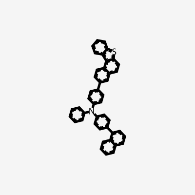 c1ccc(N(c2ccc(-c3ccc4c(ccc5sc6ccccc6c54)c3)cc2)c2ccc(-c3cccc4ccccc34)cc2)cc1